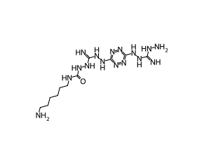 N=C(NN)NNc1nnc(NNC(=N)NNC(=O)NCCCCCCN)nn1